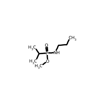 CCCNP(=O)(OC)C(C)C